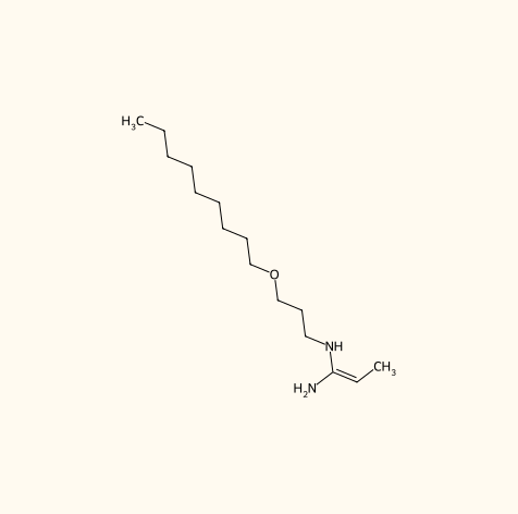 CC=C(N)NCCCOCCCCCCCCC